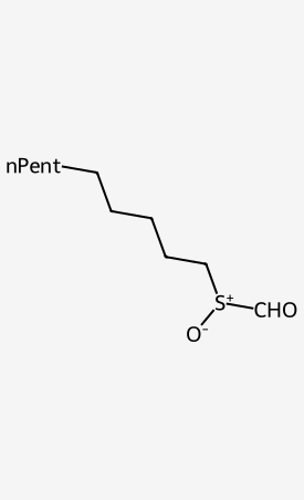 CCCCCCCCCC[S+]([O-])C=O